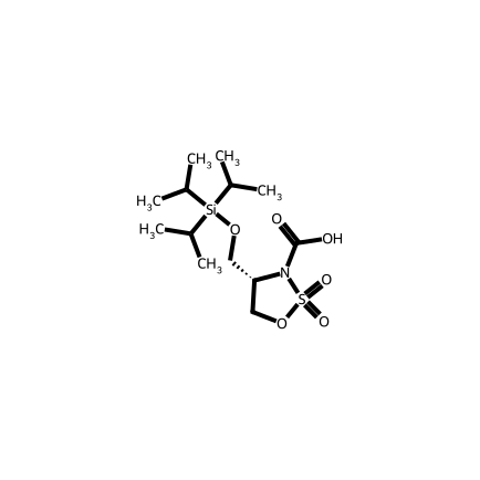 CC(C)[Si](OC[C@H]1COS(=O)(=O)N1C(=O)O)(C(C)C)C(C)C